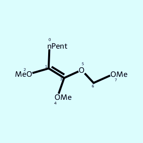 CCCCCC(OC)=C(OC)OCOC